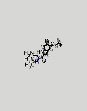 CN(C)/C=C(\CCN)C(=O)c1cc2cc(OCC(F)F)c(Br)cc2[nH]1